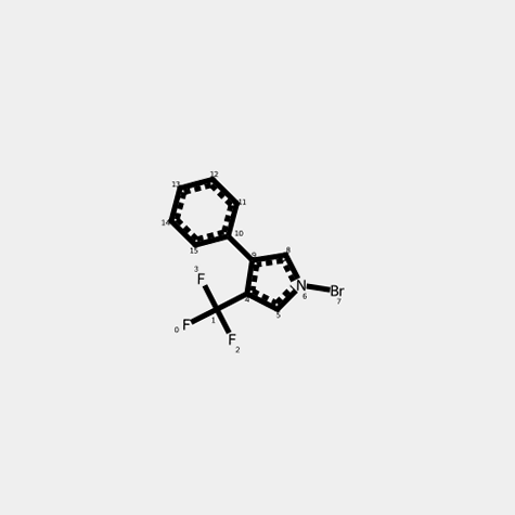 FC(F)(F)c1cn(Br)cc1-c1ccccc1